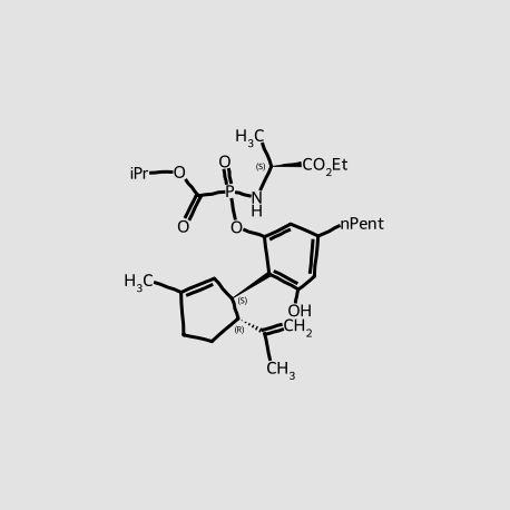 C=C(C)[C@@H]1CCC(C)=C[C@H]1c1c(O)cc(CCCCC)cc1OP(=O)(N[C@@H](C)C(=O)OCC)C(=O)OC(C)C